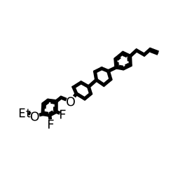 C=CCCc1ccc(C2CCC(C3CCC(OCc4ccc(OCC)c(F)c4F)CC3)CC2)cc1